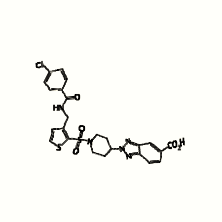 O=C(O)c1ccc2nn(C3CCN(S(=O)(=O)c4sccc4CNC(=O)c4ccc(Cl)cc4)CC3)nc2c1